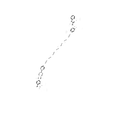 CC(C)(C)c1cc(OCCOCCOCCOCCOCCOCCOCCOC2=CCC(C3CCN(S(=O)(=O)c4ccc5c(c4)NCN(CC(=O)O)C5=O)CC3)C=C2)c(O)cc1NC(=O)c1c[nH]c2ccccc2c1=O